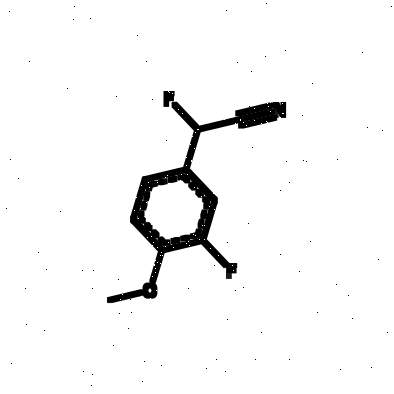 COc1ccc(C(F)C#N)cc1F